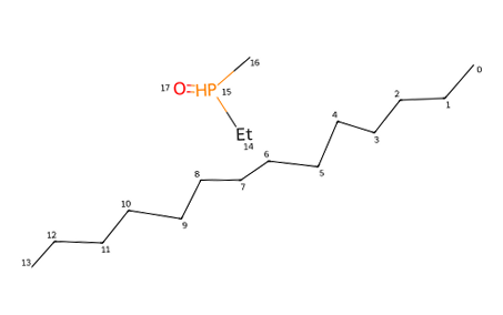 CCCCCCCCCCCCCC.CC[PH](C)=O